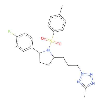 Cc1ccc(S(=O)(=O)N2C(CCCn3nnc(C)n3)CCC2c2ccc(F)cc2)cc1